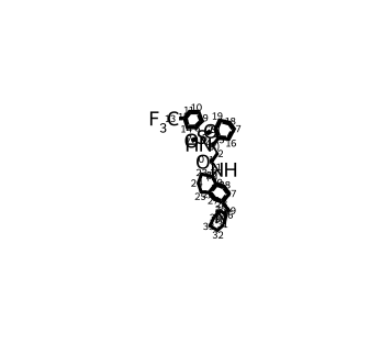 O=C(C[C@@H](NS(=O)(=O)c1cccc(C(F)(F)F)c1)c1ccccc1)N[C@@H]1CCCc2cc(CN3C4CCC3CC4)ccc21